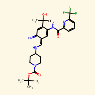 CC(C)(C)OC(=O)N1CCC(N/C=C2/C=C(NC(=O)c3cccc(C(F)(F)F)n3)C(C(C)(C)O)=CC2=N)CC1